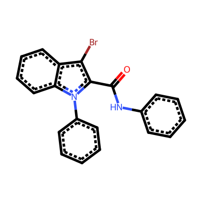 O=C(Nc1ccccc1)c1c(Br)c2ccccc2n1-c1ccccc1